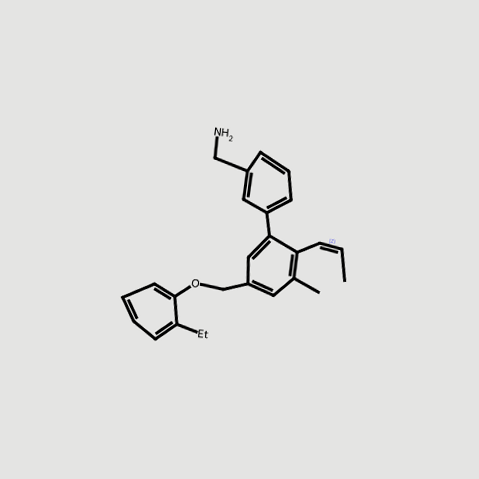 C/C=C\c1c(C)cc(COc2ccccc2CC)cc1-c1cccc(CN)c1